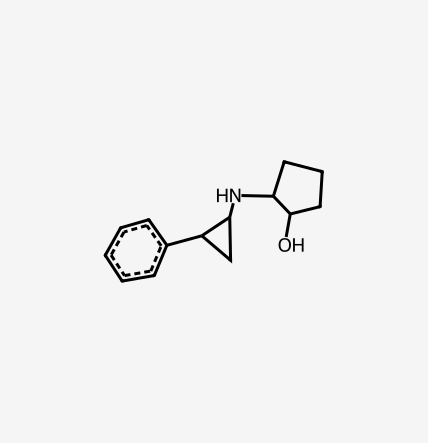 OC1CCCC1NC1CC1c1ccccc1